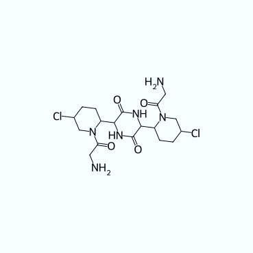 NCC(=O)N1CC(Cl)CCC1C1NC(=O)C(C2CCC(Cl)CN2C(=O)CN)NC1=O